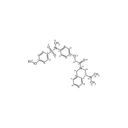 CCOc1ccc(S(=O)(=O)N(C)c2ccc(OCC(=O)N(CCN(C)C)Cc3ccccc3)cc2)cc1